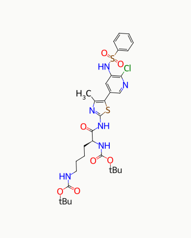 Cc1nc(NC(=O)[C@H](CCCCNC(=O)OC(C)(C)C)NC(=O)OC(C)(C)C)sc1-c1cnc(Cl)c(NS(=O)(=O)c2ccccc2)c1